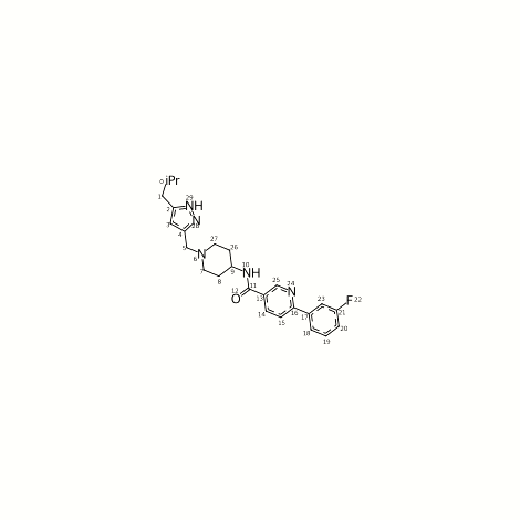 CC(C)Cc1cc(CN2CCC(NC(=O)c3ccc(-c4cccc(F)c4)nc3)CC2)n[nH]1